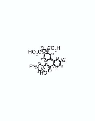 CCN1CC(O)C(N(C(=O)c2ccc(Cl)cc2)c2ccccc2)C1.O=C(O)C=CC(=O)O